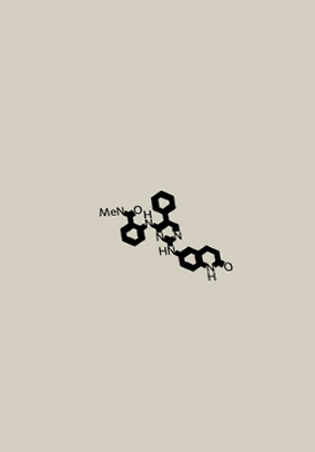 CNC(=O)c1ccccc1Nc1nc(Nc2ccc3c(c2)CCC(=O)N3)ncc1-c1ccccc1